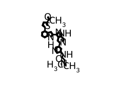 CC(=O)c1ccc(-c2cccc3[nH]c(-c4n[nH]c5cnc(-c6cncc(NC(=O)CN(C)C)c6)cc45)cc23)s1